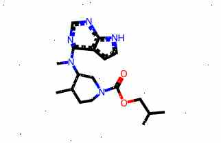 CC(C)COC(=O)N1CCC(C)C(N(C)c2ncnc3[nH]ccc23)C1